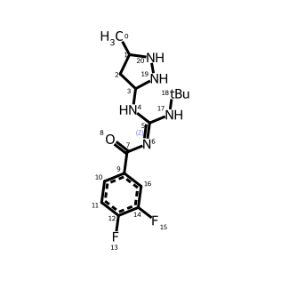 CC1CC(N/C(=N\C(=O)c2ccc(F)c(F)c2)NC(C)(C)C)NN1